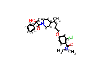 C[C@@H](CCCOc1ccc(C(=O)N(C)C)c(Cl)c1)C1CCN(C(=O)C(O)(c2ccccc2)C(F)(F)F)CC1